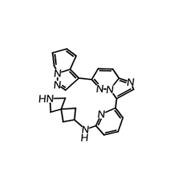 c1cc(NC2CC3(CNC3)C2)nc(-c2cnc3ccc(-c4cnn5ccccc45)nn23)c1